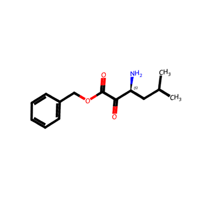 CC(C)C[C@H](N)C(=O)C(=O)OCc1ccccc1